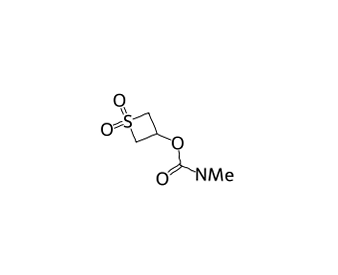 CNC(=O)OC1CS(=O)(=O)C1